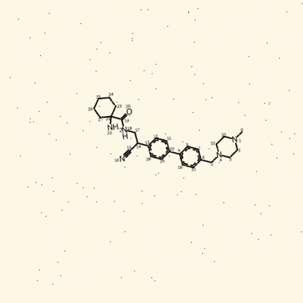 CN1CCN(Cc2ccc(-c3ccc(C(C#N)CNC(=O)C4(N)CCCCC4)cc3)cc2)CC1